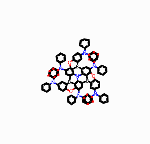 c1ccc(N(c2ccccc2)c2ccc3c(c2)B2c4cc(N(c5ccccc5)c5ccccc5)c5c6c4N4c7c(cc(N(c8ccccc8)c8ccccc8)c(c72)O3)B2c3cc(N(c7ccccc7)c7ccccc7)ccc3Oc3c(N(c7ccccc7)c7ccccc7)cc(c4c32)B6c2cc(N(c3ccccc3)c3ccccc3)ccc2O5)cc1